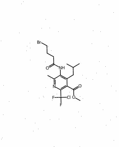 COC(=O)c1c(C(F)(F)Cl)nc(C)c(NC(=O)CCCBr)c1CC(C)C